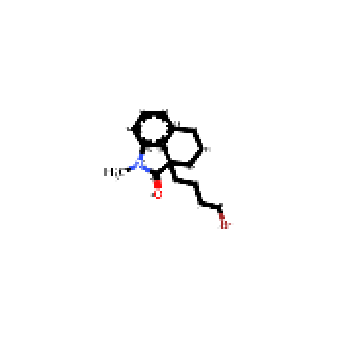 CN1C(=O)C2(CCCCBr)CCCc3cccc1c32